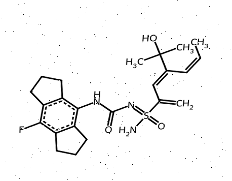 C=C(/C=C(\C=C/C)C(C)(C)O)S(N)(=O)=NC(=O)Nc1c2c(c(F)c3c1CCC3)CCC2